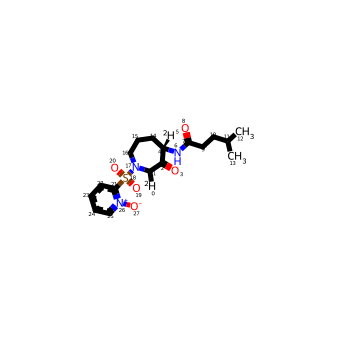 [2H]C1C(=O)[C@@]([2H])(NC(=O)[CH]CC(C)C)CCCN1S(=O)(=O)c1cccc[n+]1[O-]